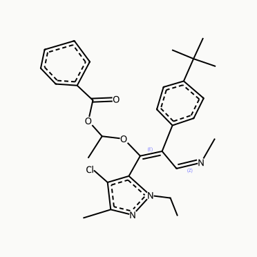 CCn1nc(C)c(Cl)c1/C(OC(C)OC(=O)c1ccccc1)=C(\C=N/C)c1ccc(C(C)(C)C)cc1